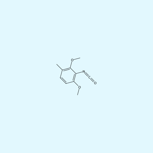 COc1ccc(C)c(OC)c1N=C=O